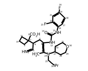 C/C(=C(\CC(C=N)C1(C(=O)O)CCC1)NC(=O)Nc1ccc(F)cc1F)N(CC(C)C)C1CCOCC1